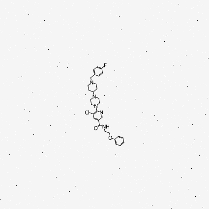 O=C(NCCOc1ccccc1)c1cnc(N2CCN(C3CCN(Cc4ccc(F)cc4)CC3)CC2)c(Cl)c1